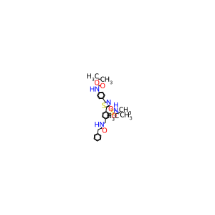 CC(C)OC(=O)Nc1ccc(-c2ncc(-c3ccc(CNC(=O)Cc4ccccc4)cc3S(=O)(=O)NC(C)(C)C)s2)cc1